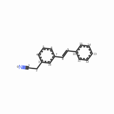 N#CCc1cccc(/C=C/c2ccccc2)c1